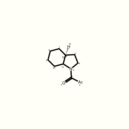 CC(=O)C(=O)N1CC[C@@H]2CCCCC21